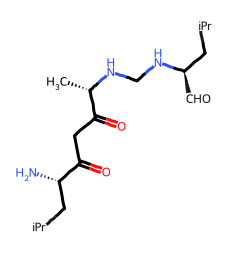 CC(C)C[C@@H](C=O)NCN[C@@H](C)C(=O)CC(=O)[C@@H](N)CC(C)C